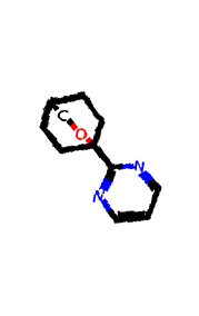 c1cnc(C23CCC(CC2)CO3)nc1